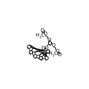 CC1(OCCCOc2cc(COC(=O)CCCC3(c4ccccc4)C45C6=CCC7C8CC=c9c%10ccc%11c%12c%13c%14c%15c%16c%17c(ccc6c%17c4c%15c4c(c8c9c(c%12%10)c4%14)C735)C3=CC=C%11C%13C3%16)cc(OCCCOC3(C)COC3)c2)COC1